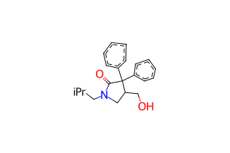 CC(C)CN1CC(CO)C(c2ccccc2)(c2ccccc2)C1=O